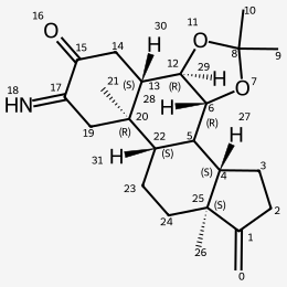 C=C1CC[C@H]2C3[C@H]4OC(C)(C)O[C@@H]4[C@H]4CC(=O)C(=N)C[C@]4(C)[C@H]3CC[C@]12C